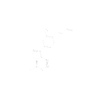 C=CCOc1ccc(-c2nsc3c(=O)[nH]nnc23)cc1C#N